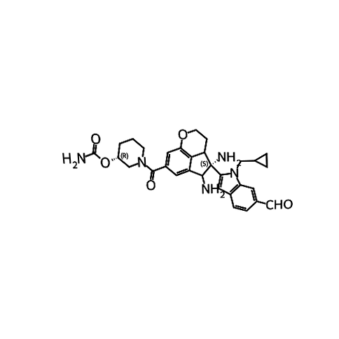 NC(=O)O[C@@H]1CCCN(C(=O)c2cc3c4c(c2)C(N)[C@](N)(c2cc5ccc(C=O)cc5n2CC2CC2)C4CCO3)C1